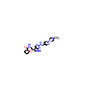 CN1CCN(c2ccc(CNc3ncc4c(C5CNC(=O)c6ccccc6O5)c[nH]c4n3)cn2)CC1